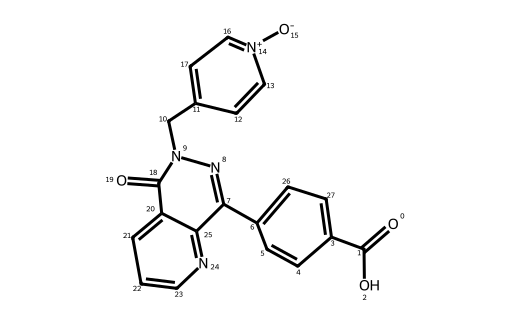 O=C(O)c1ccc(-c2nn(Cc3cc[n+]([O-])cc3)c(=O)c3cccnc23)cc1